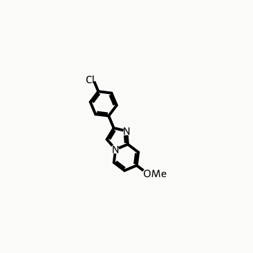 COc1ccn2cc(-c3ccc(Cl)cc3)nc2c1